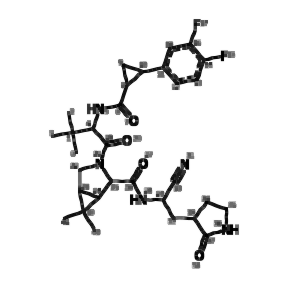 CC(C)(C)C(NC(=O)C1CC1c1ccc(F)c(F)c1)C(=O)N1CC2C(C1C(=O)NC(C#N)CC1CCNC1=O)C2(C)C